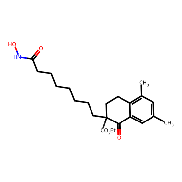 CCOC(=O)C1(CCCCCCCC(=O)NO)CCc2c(C)cc(C)cc2C1=O